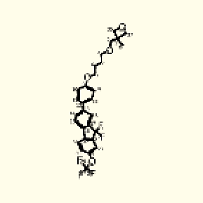 CC1(COCCCCOc2ccc(-c3ccc4c(c3)C(F)(F)c3cc(OC(F)(F)F)ccc3-4)cc2)COC1